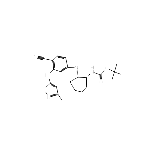 Cc1cc(Nc2cc(N[C@@H]3CCCC[C@@H]3NC(=O)OC(C)(C)C)ccc2C#N)sn1